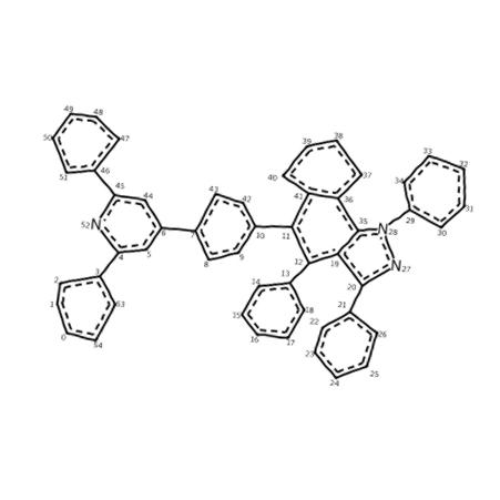 c1ccc(-c2cc(-c3ccc(-c4c(-c5ccccc5)c5c(-c6ccccc6)nn(-c6ccccc6)c5c5ccccc45)cc3)cc(-c3ccccc3)n2)cc1